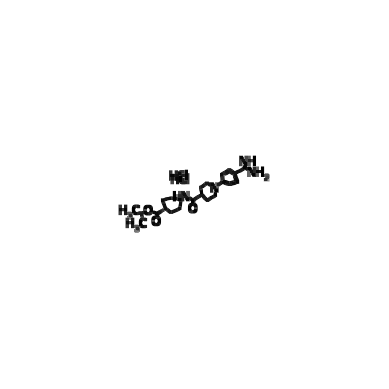 CC(C)OC(=O)[C@H]1CC[C@H](NC(=O)C2CCN(c3ccc(C(=N)N)cc3)CC2)CC1.Cl.Cl